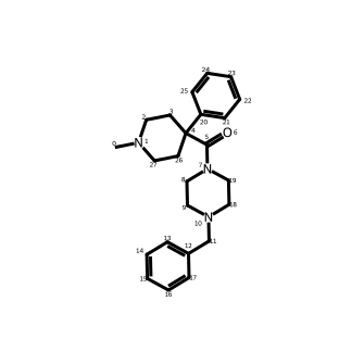 CN1CCC(C(=O)N2CCN(Cc3ccccc3)CC2)(c2ccccc2)CC1